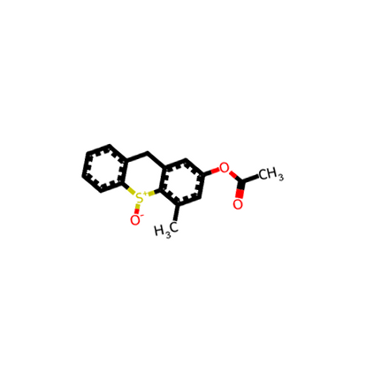 CC(=O)Oc1cc(C)c2c(c1)Cc1ccccc1[S+]2[O-]